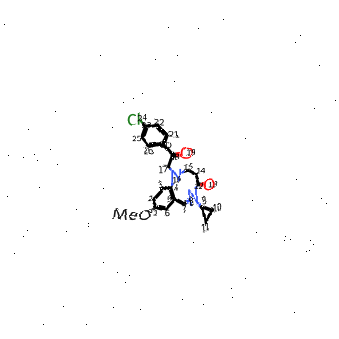 COc1ccc2c(c1)CN(C1CC1)C(=O)CCN2CC(=O)c1ccc(Cl)cc1